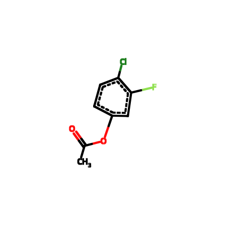 CC(=O)Oc1ccc(Cl)c(F)c1